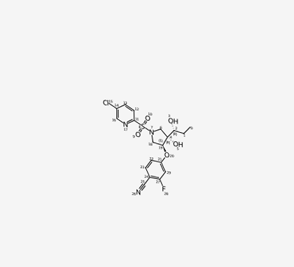 CC[C@@H](O)[C@]1(O)CN(S(=O)(=O)c2ccc(Cl)cn2)C[C@@H]1Oc1ccc(C#N)c(F)c1